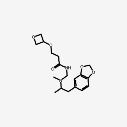 CC(Cc1ccc2c(c1)OCO2)N(C)CNC(=O)CCOC1COC1